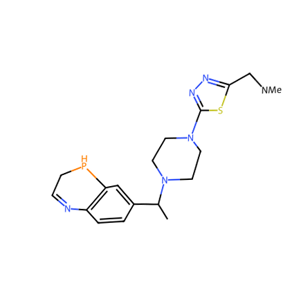 CNCc1nnc(N2CCN(C(C)c3ccc4c(c3)PCC=N4)CC2)s1